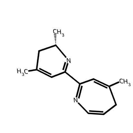 CC1=CC(C2=N[C@@H](C)CC(C)=C2)=NC=CC1